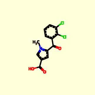 Cn1cc(C(=O)O)cc1C(=O)c1cccc(Cl)c1Cl